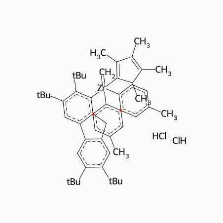 Cl.Cl.[CH2]=[Zr]([C]1=C(C)C(C)=C(C)C1C)([c]1ccc(C)cc1)([c]1ccc(C)cc1)[c]1c2c(cc(C(C)(C)C)c1C(C)(C)C)-c1cc(C(C)(C)C)c(C(C)(C)C)cc1C2